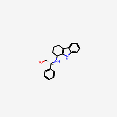 OC[C@H](NC1CCCc2c1[nH]c1ccccc21)c1ccccc1